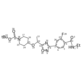 CCNC(=O)c1ccc(-c2noc(C(C)OC3CCN(C(=O)OC(C)(C)C)CC3)n2)cc1F